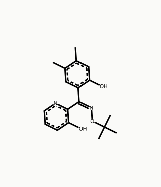 Cc1cc(O)c(C(=NOC(C)(C)C)c2ncccc2O)cc1C